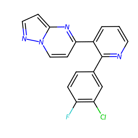 Fc1ccc(-c2ncccc2-c2ccn3nccc3n2)cc1Cl